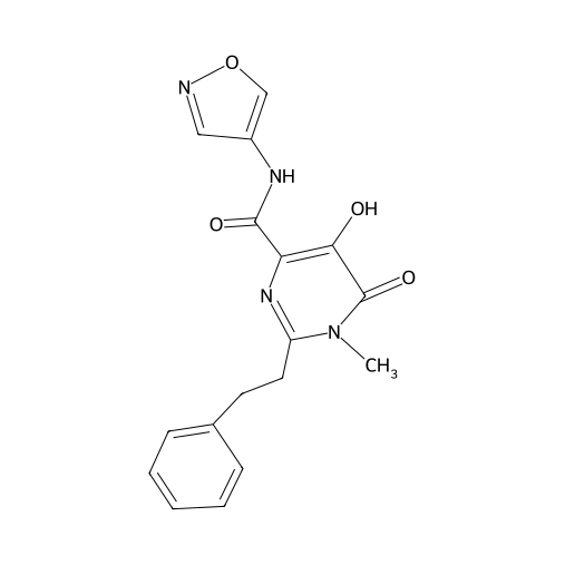 Cn1c(CCc2ccccc2)nc(C(=O)Nc2cnoc2)c(O)c1=O